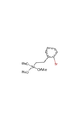 CO[Si](CCc1ccccc1Br)(OC)OC